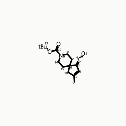 CC1=CC(=C=O)C2(CCN(C(=O)OC(C)(C)C)CC2)C1